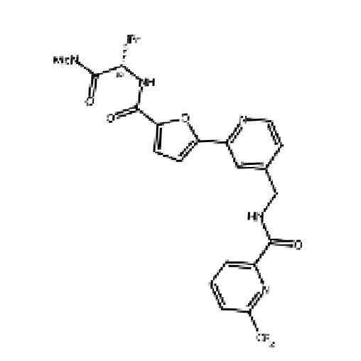 CNC(=O)[C@@H](NC(=O)c1ccc(-c2cc(CNC(=O)c3cccc(C(F)(F)F)n3)ccn2)o1)C(C)C